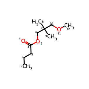 CCCC(=O)OCC(C)(C)COC